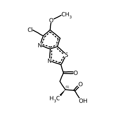 COc1cc2sc(C(=O)C[C@H](C)C(=O)O)nc2nc1Cl